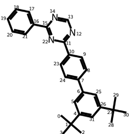 CC(C)(C)c1cc(-c2ccc(-c3ncnc(-c4ccccc4)n3)cc2)cc(C(C)(C)C)c1